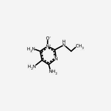 CCNc1nc(N)c(N)c(N)[n+]1[O-]